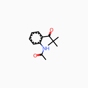 CC(=O)Nc1ccccc1C(=O)C(C)(C)C